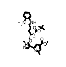 COC(=O)c1cc(C)nc(-c2cnn(C)c2OC[C@H](CCCNc2ccccc2N)NC(=O)OC(C)(C)C)c1